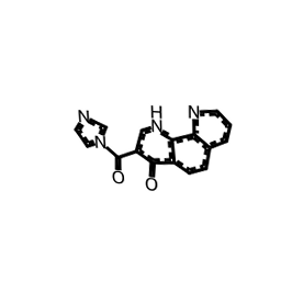 O=C(c1c[nH]c2c(ccc3cccnc32)c1=O)n1ccnc1